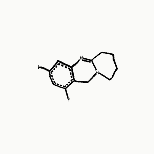 Fc1cc(I)cc2c1CN1CCCCC1=N2